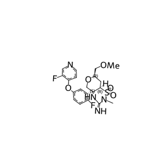 COC[C@H]1C[C@@H]2[C@](c3cc(Oc4ccncc4F)ccc3F)(CO1)NC(=N)N(C)S2(=O)=O